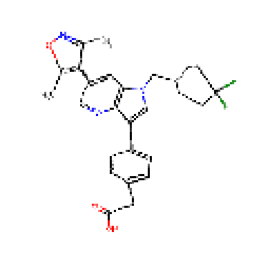 Cc1noc(C)c1-c1cnc2c(-c3ccc(CC(=O)O)cc3)cn(CC3CCC(F)(F)CC3)c2c1